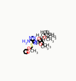 CC(CSc1nn([C@@H]2O[C@H](CO[Si](C(C)C)(C(C)C)C(C)C)[C@H]3CC(C)(C)O[C@H]32)c2ncnc(N)c12)O[C@H]1CCCCO1